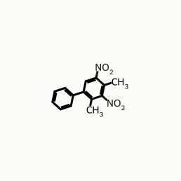 Cc1c(-c2ccccc2)cc([N+](=O)[O-])c(C)c1[N+](=O)[O-]